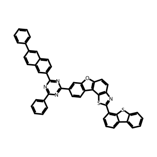 c1ccc(-c2ccc3cc(-c4nc(-c5ccccc5)nc(-c5ccc6c(c5)oc5ccc7nc(-c8cccc9c8sc8ccccc89)sc7c56)n4)ccc3c2)cc1